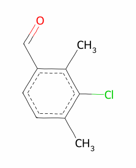 Cc1ccc(C=O)c(C)c1Cl